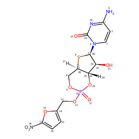 Nc1ccn([C@@H]2S[C@@H]3COP(=O)(OCc4ccc([N+](=O)[O-])o4)O[C@H]3[C@@H]2O)c(=O)n1